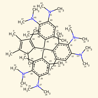 CC1=C(C)C(C)C([Si](c2c(C)cc(N(C)C)c(N(C)C)c2C)(c2c(C)cc(N(C)C)c(N(C)C)c2C)c2c(C)cc(N(C)C)c(N(C)C)c2C)=C1C